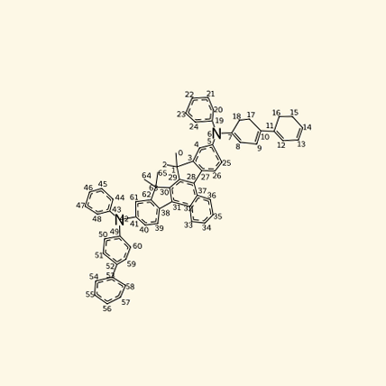 CC1(C)c2cc(N(C3=CC=C(C4=CC=CCC4)CC3)c3ccccc3)ccc2-c2c1c1c(c3ccccc23)-c2ccc(N(c3ccccc3)c3ccc(-c4ccccc4)cc3)cc2C1(C)C